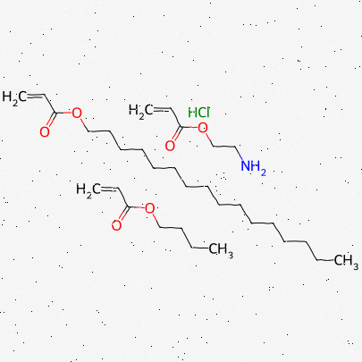 C=CC(=O)OCCCC.C=CC(=O)OCCCCCCCCCCCCCCCC.C=CC(=O)OCCN.Cl